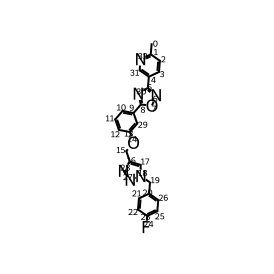 Cc1ccc(-c2noc(-c3cccc(OCc4cn(Cc5ccc(F)cc5)nn4)c3)n2)cn1